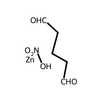 O=CCCCC=O.O=[N+]([O-])O.[Zn]